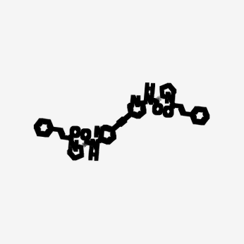 O=C(Nc1ccc(C#Cc2ccc(NC(=O)[C@@H]3CCCN3C(=O)C=Cc3ccccc3)nc2)cn1)[C@@H]1CCCN1C(=O)C=Cc1ccccc1